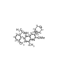 COc1nc2c(C)nnc(N[C@H](C)c3cccc(C(F)(F)F)c3)c2cc1N1C2CCC1COC2